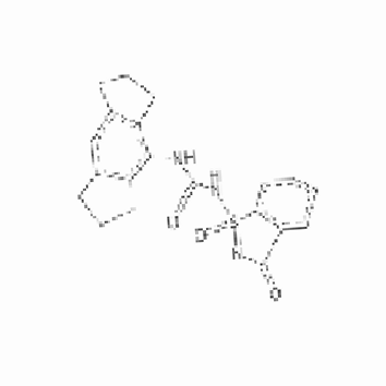 O=C(Nc1c2c(cc3c1CCC3)CCC2)NS1(=O)=NC(=O)c2ccccc21